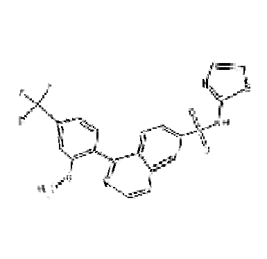 COc1cc(C(F)(F)F)ccc1-c1nccc2cc(S(=O)(=O)Nc3nccs3)ccc12